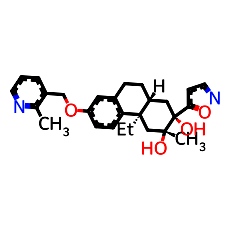 CC[C@@]12C[C@@](C)(O)[C@@](O)(c3ccno3)C[C@H]1CCc1cc(OCc3cccnc3C)ccc12